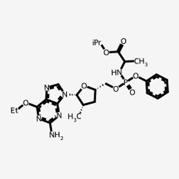 CCOc1nc(N)nc2c1ncn2[C@@H]1O[C@H](COP(=O)(NC(C)C(=O)OC(C)C)Oc2ccccc2)C[C@@H]1C